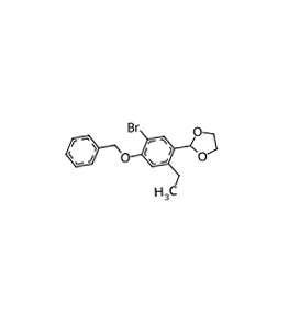 CCc1cc(OCc2ccccc2)c(Br)cc1C1OCCO1